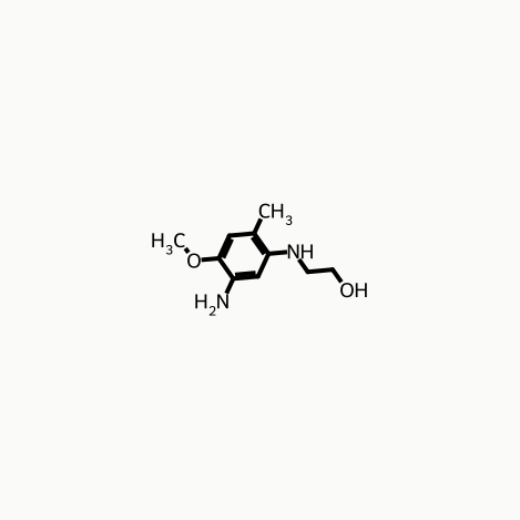 COc1cc(C)c(NCCO)cc1N